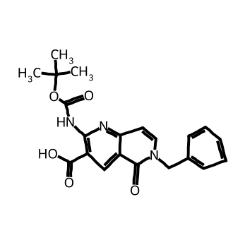 CC(C)(C)OC(=O)Nc1nc2ccn(Cc3ccccc3)c(=O)c2cc1C(=O)O